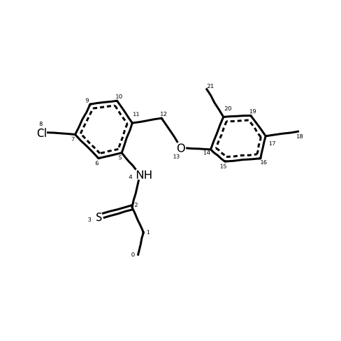 CCC(=S)Nc1cc(Cl)ccc1COc1ccc(C)cc1C